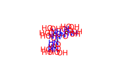 CN(CC(O)CO)C(=O)c1c(I)c(NC(=O)C(O)CO)c(I)c(C(=O)NCCCCN(CCCNC(=O)c2c(I)c(NC(=O)C(O)CO)c(I)c(C(=O)N(C)CC(O)CO)c2I)C(=O)c2c(I)c(NC(=O)C(O)CO)c(I)c(C(=O)N(C)CC(O)CO)c2I)c1I